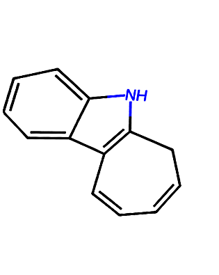 C1=CCc2[nH]c3ccccc3c2C=C1